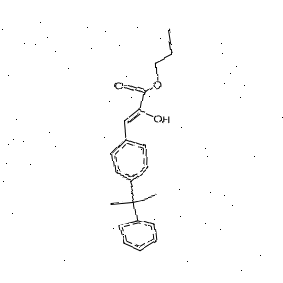 CCCOC(=O)C(O)=Cc1ccc(C(C)(C)c2ccccc2)cc1